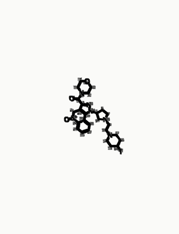 O=C(c1nn(C2CCN(CCN3CCC(F)CC3)C2)c2c1C[S+]([O-])c1ccccc1-2)N1CCOCC1